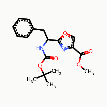 COC(=O)c1coc(C(Cc2ccccc2)NC(=O)OC(C)(C)C)n1